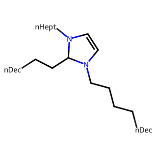 CCCCCCCCCCCCCCN1C=CN(CCCCCCC)C1CCCCCCCCCCCC